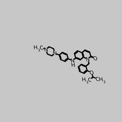 CC(C)Oc1ccccc1Cn1c(=O)ccc2ccc(Nc3ccc(N4CCN(C)CC4)cc3)cc21